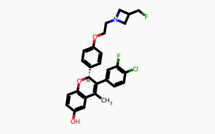 CC1=C(c2ccc(Cl)c(F)c2)[C@@H](c2ccc(OCCN3CC(CF)C3)cc2)Oc2ccc(O)cc21